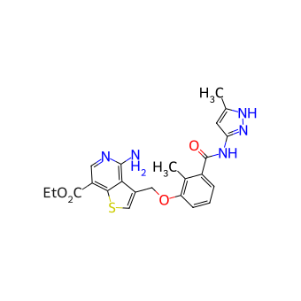 CCOC(=O)c1cnc(N)c2c(COc3cccc(C(=O)Nc4cc(C)[nH]n4)c3C)csc12